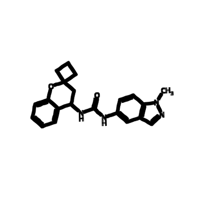 Cn1ncc2cc(NC(=O)NC3CC4(CCC4)Oc4ccccc43)ccc21